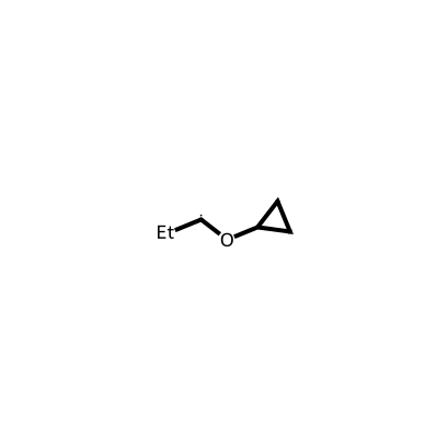 CC[CH]OC1CC1